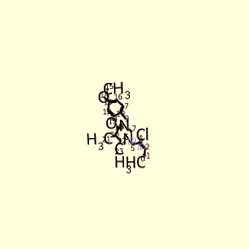 C#C/C=C(Cl)\C=N/CN(Cc1ccc(OC)cc1)C(=O)C(C)CC